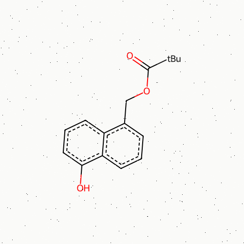 CC(C)(C)C(=O)OCc1cccc2c(O)cccc12